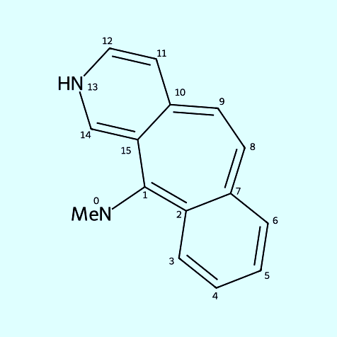 CNC1=c2ccccc2=CC=C2C=CNC=C21